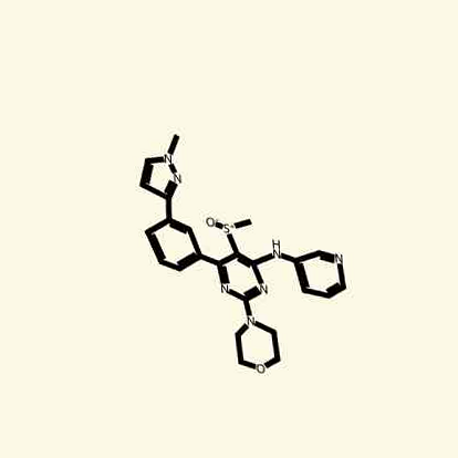 Cn1ccc(-c2cccc(-c3nc(N4CCOCC4)nc(Nc4cccnc4)c3[S+](C)[O-])c2)n1